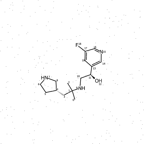 CC(C)(C[C@@H]1CCNC1)NC[C@H](O)c1cncc(F)c1